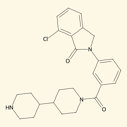 O=C(c1cccc(N2Cc3cccc(Cl)c3C2=O)c1)N1CCC(C2CCNCC2)CC1